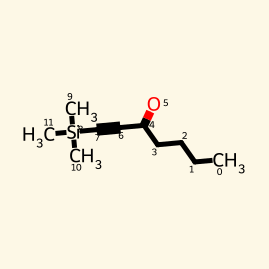 CCCCC(=O)C#C[Si](C)(C)C